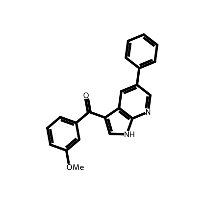 COc1cccc(C(=O)c2c[nH]c3ncc(-c4ccccc4)cc23)c1